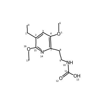 CCc1cc(OC)c(CCNC(=O)O)nc1OC